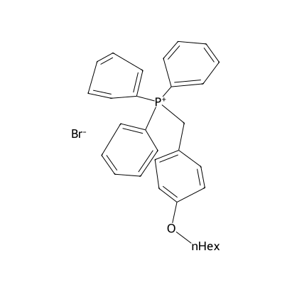 CCCCCCOc1ccc(C[P+](c2ccccc2)(c2ccccc2)c2ccccc2)cc1.[Br-]